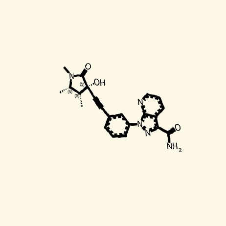 C[C@@H]1[C@H](C)N(C)C(=O)[C@@]1(O)C#Cc1cccc(-n2nc(C(N)=O)c3cccnc32)c1